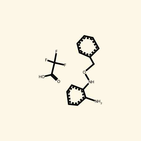 Nc1ccccc1NOCc1ccccc1.O=C(O)C(F)(F)F